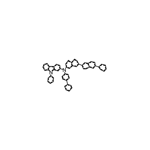 c1ccc(-c2ccc(N(c3ccc4ccc(-c5ccc6cc(-c7ccccc7)ccc6c5)cc4c3)c3ccc4c5ccccc5n(-c5ccccc5)c4c3)cc2)cc1